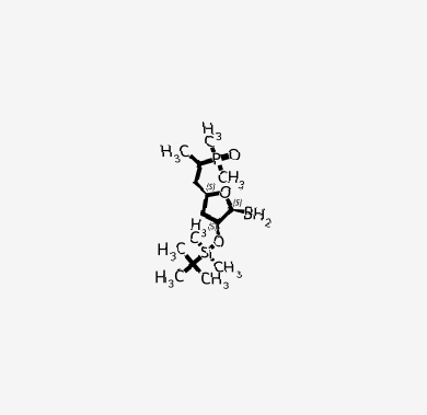 B[C@@H]1O[C@H](CC(C)P(C)(C)=O)C[C@@H]1O[Si](C)(C)C(C)(C)C